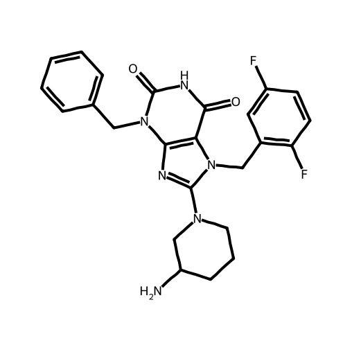 NC1CCCN(c2nc3c(c(=O)[nH]c(=O)n3Cc3ccccc3)n2Cc2cc(F)ccc2F)C1